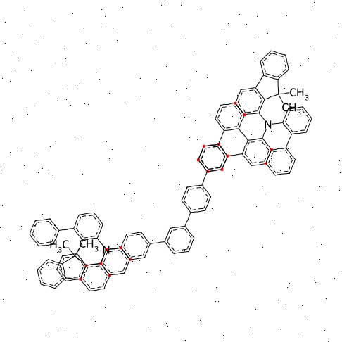 CC1(C)c2ccccc2-c2cccc(N(c3ccc(-c4cccc(-c5ccc(-c6ccc(-c7ccccc7-c7c(-c8ccccc8)cccc7N(c7ccccc7-c7ccccc7)c7cccc8c7C(C)(C)c7ccccc7-8)cc6)cc5)c4)cc3)c3cccc(-c4ccccc4)c3-c3ccccc3-c3ccccc3)c21